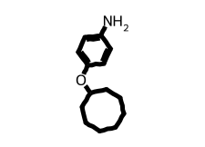 Nc1ccc(OC2CCCCCCC2)cc1